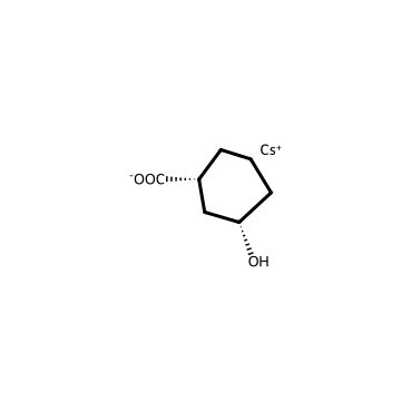 O=C([O-])[C@@H]1CCC[C@H](O)C1.[Cs+]